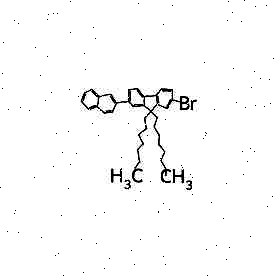 CCCCCCCCC1(CCCCCCCC)c2cc(Br)ccc2-c2ccc(-c3ccc4ccccc4c3)cc21